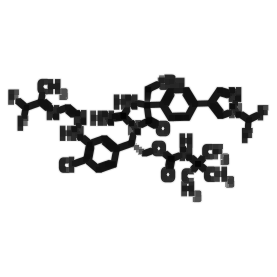 C/C(=N\C=N/Nc1cc([C@@H](COC(=O)NC(C)(C)C(F)(F)F)N2C(=N)N[C@](CC(C)(C)C)(c3ccc(-c4cnn(C(F)F)c4)cc3)C2=O)ccc1Cl)C(F)F